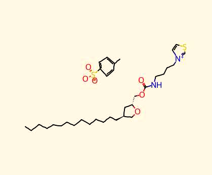 CCCCCCCCCCCCCC[C@@H]1CO[C@@H](COC(=O)NCCCC[n+]2ccsc2)C1.Cc1ccc(S(=O)(=O)[O-])cc1